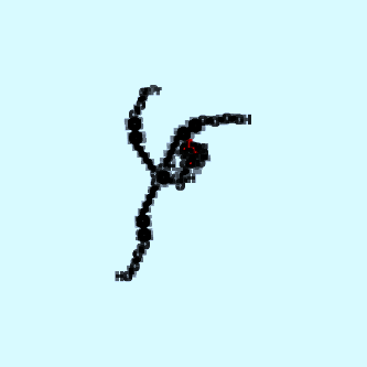 CCCOCCOCCOc1ccc(-c2ccc(CCCCCCCCOc3c(OCCCCCCCCc4ccc(-c5ccc(OCCOCCOCCO)cc5)cc4)cc(COC(=O)NCC[SiH2]O[Si]45O[Si]6(C)O[Si]7(C)O[Si]8(C)O[Si](C)(O6)O[Si](C)(O[Si](C)(O8)O[Si](C)(O7)O4)O5)cc3OCCCCCCCCc3ccc(-c4ccc(OCCOCCOCCO)cc4)cc3)cc2)cc1